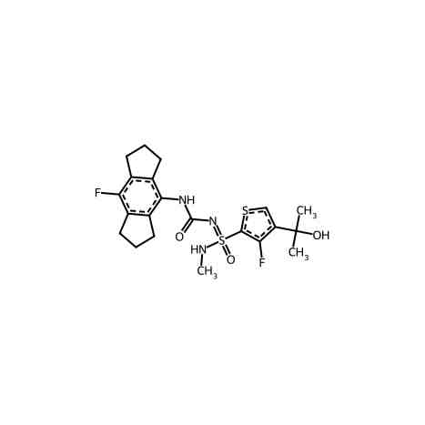 CNS(=O)(=NC(=O)Nc1c2c(c(F)c3c1CCC3)CCC2)c1scc(C(C)(C)O)c1F